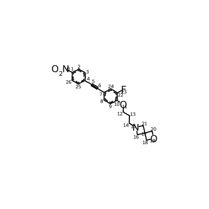 O=[N+]([O-])c1ccc(C#Cc2ccc(OCCCN3CC4(COC4)C3)c(F)c2)cc1